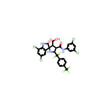 O=C(Nc1cc(Cl)cc(Cl)c1)C1C(C(F)(F)c2ccc(C(F)(F)F)cc2)NC2(C(=O)Nc3c(Cl)cc(Cl)cc32)C1C(=O)O